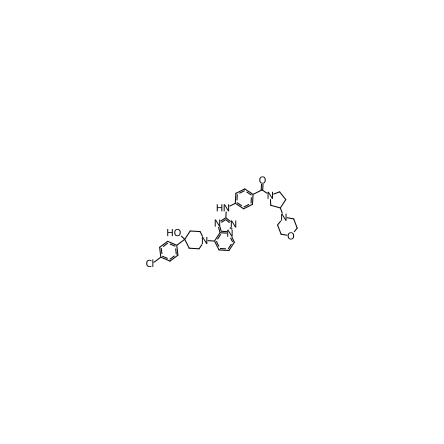 O=C(c1ccc(Nc2nc3c(N4CCC(O)(c5ccc(Cl)cc5)CC4)cccn3n2)cc1)N1CCC(N2CCOCC2)C1